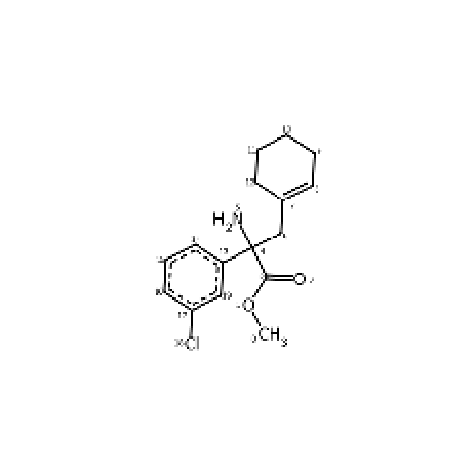 COC(=O)C(N)(CC1=CCCCC1)c1cccc(Cl)c1